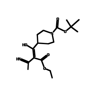 CCOC(=O)/C(C(C)=N)=C(/O)C1CCN(C(=O)OC(C)(C)C)CC1